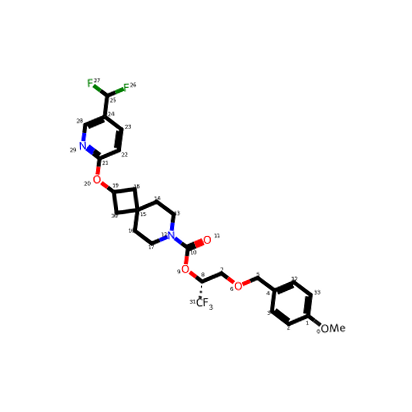 COc1ccc(COC[C@@H](OC(=O)N2CCC3(CC2)CC(Oc2ccc(C(F)F)cn2)C3)C(F)(F)F)cc1